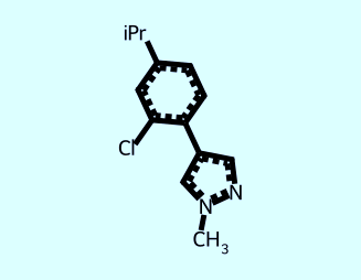 CC(C)c1ccc(-c2cnn(C)c2)c(Cl)c1